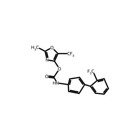 Cc1nc(OC(=O)Nc2ccc(-c3ccccc3C(F)(F)F)cc2)c(C(F)(F)F)o1